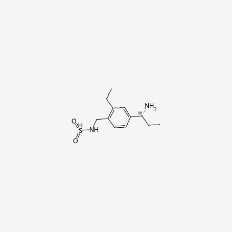 CCc1cc([C@H](N)CC)ccc1CN[SH](=O)=O